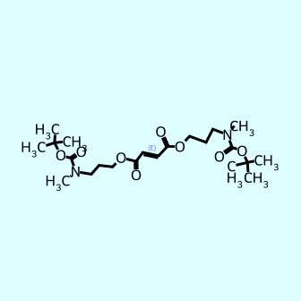 CN(CCCOC(=O)/C=C/C(=O)OCCCN(C)C(=O)OC(C)(C)C)C(=O)OC(C)(C)C